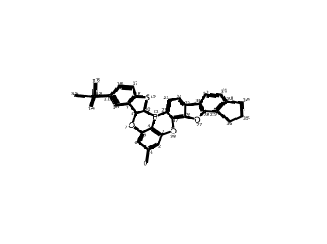 Cc1cc2c3c(c1)OC1c4cc(C(C)(C)C)ccc4SC1B3c1ccc3c(oc4c5c(ccc43)CCC5)c1O2